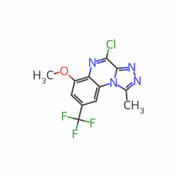 COc1cc(C(F)(F)F)cc2c1nc(Cl)c1nnc(C)n12